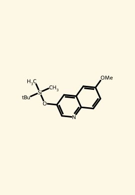 COc1ccc2ncc(O[Si](C)(C)C(C)(C)C)cc2c1